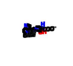 COc1ccc2nccc(CC[N+]3(C(C)(C)C)CC[C@H](NC(=O)[O-])[C@@H](O)C3)c2n1